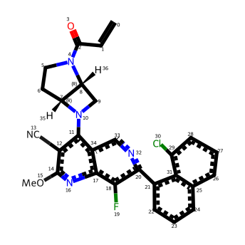 C=CC(=O)N1CC[C@@H]2[C@H]1CN2c1c(C#N)c(OC)nc2c(F)c(-c3cccc4cccc(Cl)c34)ncc12